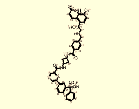 O=C(NC1CC(NC(=O)c2cncc(-c3cccc([C@](O)(C(=O)O)c4ccccc4)c3)n2)C1)c1ccc(CNC[C@H](O)c2ccc(O)c3[nH]c(=O)ccc23)cc1